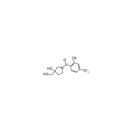 N#Cc1cc(C(F)(F)F)ccc1[S+]([O-])N1CCC(O)(CO)C1